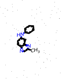 Cc1cnc2ccc(Nc3ccccc3)cc2n1